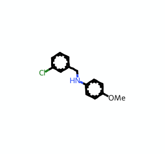 COc1ccc(NCc2cccc(Cl)c2)cc1